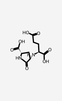 N[C@@H](CCC(=O)O)C(=O)O.O=C1CC[C@@H](C(=O)O)N1